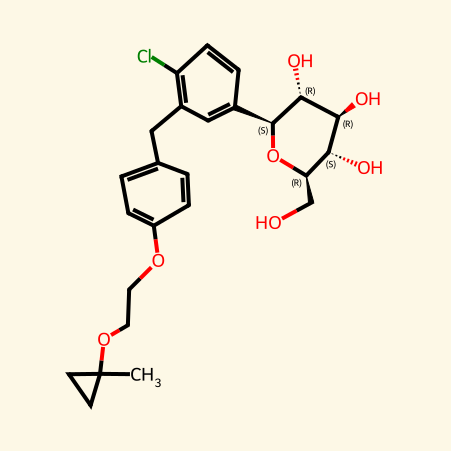 CC1(OCCOc2ccc(Cc3cc([C@@H]4O[C@H](CO)[C@@H](O)[C@H](O)[C@H]4O)ccc3Cl)cc2)CC1